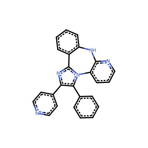 c1ccc(-c2c(-c3ccncc3)nc3n2-c2cccnc2Nc2ccccc2-3)cc1